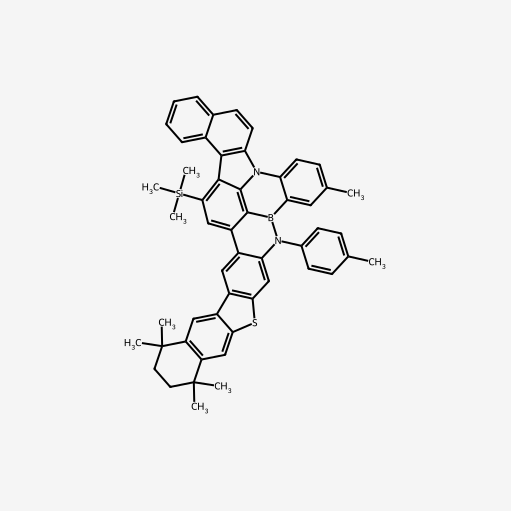 Cc1ccc(N2B3c4cc(C)ccc4-n4c5ccc6ccccc6c5c5c([Si](C)(C)C)cc(c3c54)-c3cc4c(cc32)sc2cc3c(cc24)C(C)(C)CCC3(C)C)cc1